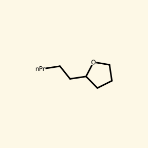 CCCCC[C]1CCCO1